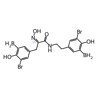 Bc1cc(CCNC(=O)/C(Cc2cc(B)c(O)c(Br)c2)=N\O)cc(Br)c1O